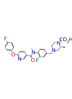 C[C@H]1CN(Cc2ccc(N(C)C(=O)c3ccc(Oc4ccc(F)cc4)nc3)c(F)c2)CCN1C(=O)O